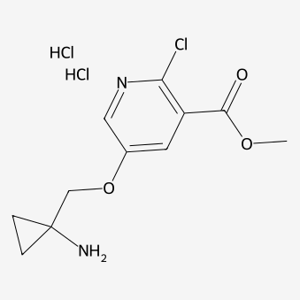 COC(=O)c1cc(OCC2(N)CC2)cnc1Cl.Cl.Cl